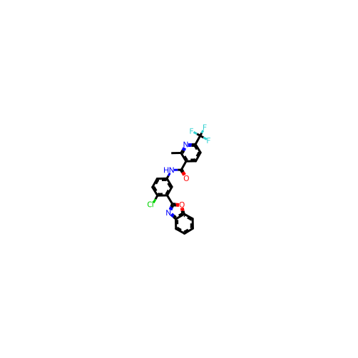 Cc1nc(C(F)(F)F)ccc1C(=O)Nc1ccc(Cl)c(-c2nc3ccccc3o2)c1